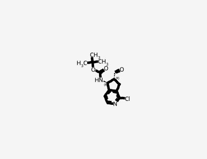 CC(C)(C)OC(=O)N[C@H]1c2ccnc(Cl)c2C[C@H]1C=O